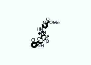 COC(=O)c1ccc(NC2=NC3C(C(=O)N(Cc4cc5c(Cl)cccc5[nH]4)C(=O)N3C)N2C)cn1